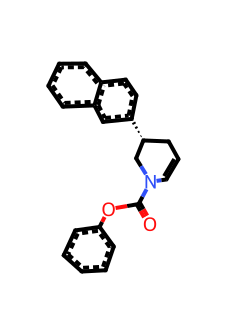 O=C(Oc1ccccc1)N1C=CC[C@@H](c2ccc3ccccc3c2)C1